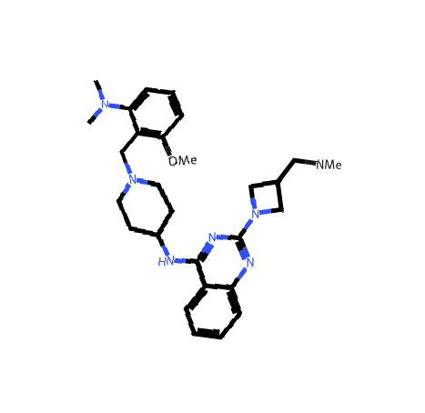 CNCC1CN(c2nc(NC3CCN(Cc4c(OC)cccc4N(C)C)CC3)c3ccccc3n2)C1